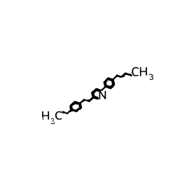 CCCCCc1ccc(-c2ccc(CCc3ccc(CCC)cc3)cn2)cc1